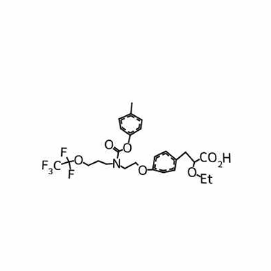 CCOC(Cc1ccc(OCCN(CCCOC(F)(F)C(F)(F)F)C(=O)Oc2ccc(C)cc2)cc1)C(=O)O